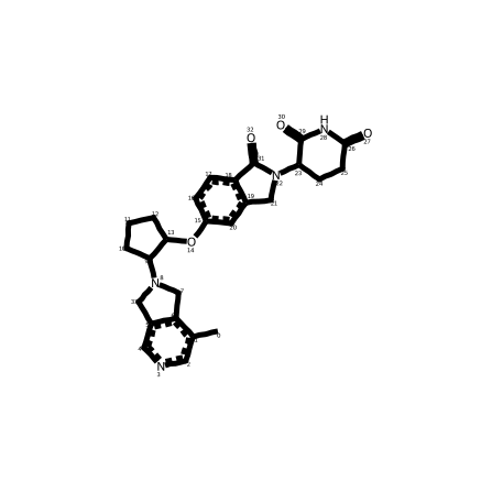 Cc1cncc2c1CN(C1CCCC1Oc1ccc3c(c1)CN(C1CCC(=O)NC1=O)C3=O)C2